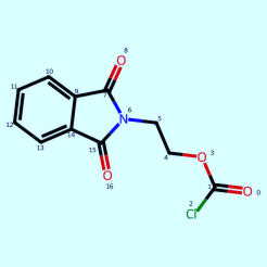 O=C(Cl)OCCN1C(=O)c2ccccc2C1=O